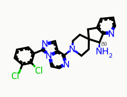 N[C@@H]1c2ncccc2CC12CCN(c1nccn3c(-c4cccc(Cl)c4Cl)ncc13)CC2